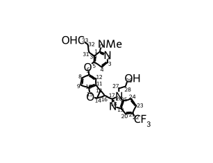 CNc1nccc(Oc2ccc3c(c2)C2C(O3)C2c2nc3cc(C(F)(F)F)ccc3n2CCO)c1CCC=O